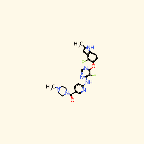 Cc1cc2c(F)c(Oc3ncnc(Nc4ccc(C(=O)N5CCN(C)CC5)cn4)c3F)ccc2[nH]1